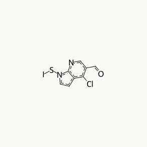 O=Cc1cnc2c(ccn2SI)c1Cl